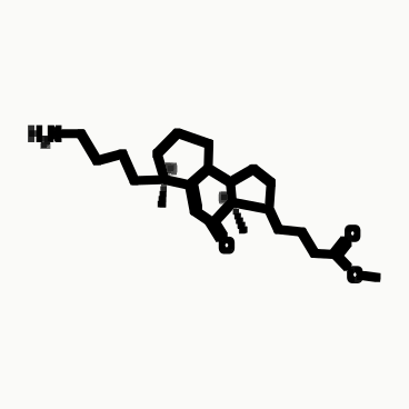 COC(=O)CCCC1CCC2C3CCC[C@](C)(CCCCN)C3=CC(=O)[C@]12C